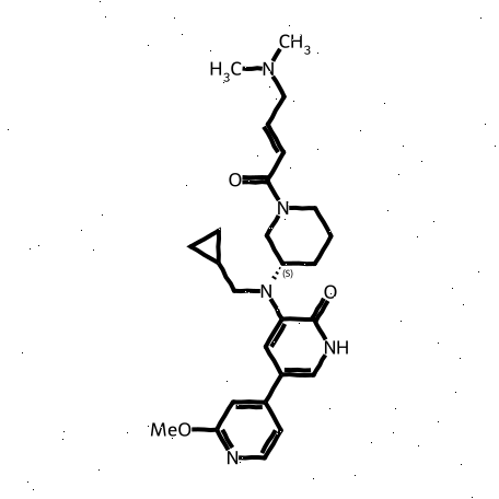 COc1cc(-c2c[nH]c(=O)c(N(CC3CC3)[C@H]3CCCN(C(=O)C=CCN(C)C)C3)c2)ccn1